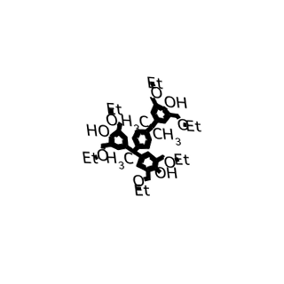 CCOCc1cc(C(C)(C)c2ccc(C(C)(c3cc(COCC)c(O)c(COCC)c3)c3cc(COCC)c(O)c(COCC)c3)cc2)cc(COCC)c1O